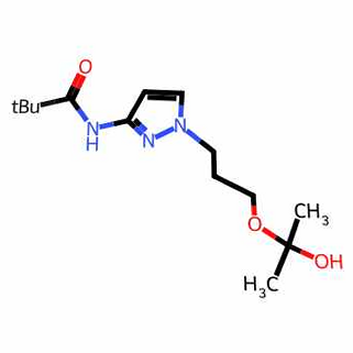 CC(C)(O)OCCCn1ccc(NC(=O)C(C)(C)C)n1